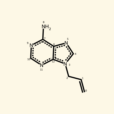 C=CCn1cnc2c(N)ncnc21